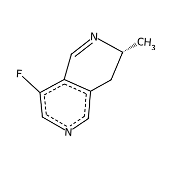 C[C@@H]1Cc2cncc(F)c2C=N1